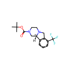 CC(C)(C)OC(=O)N1CCN2Cc3c(cccc3C(F)(F)F)[C@@H]2C1